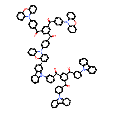 O=C(c1ccc(N2c3ccccc3Oc3ccccc32)cc1)c1cc(C(=O)c2ccc(N3c4ccccc4Oc4ccccc43)cc2)cc(C(=O)c2ccc(N3c4ccccc4Oc4c(-c5ccc6c7ccccc7n(-c7cccc(C(=O)c8cc(C(=O)c9cccc(-n%10c%11ccccc%11c%11ccccc%11%10)c9)cc(C(=O)c9cccc(-n%10c%11ccccc%11c%11ccccc%11%10)c9)c8)c7)c6c5)cccc43)cc2)c1